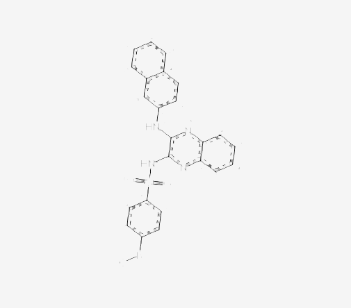 CBc1ccc(S(=O)(=O)Nc2nc3ccccc3nc2Nc2ccc3ccccc3c2)cc1